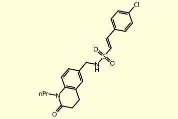 CCCN1C(=O)CCc2cc(CNS(=O)(=O)C=Cc3ccc(Cl)cc3)ccc21